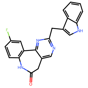 O=C1Cc2cnc(Cc3c[nH]c4ccccc34)nc2-c2cc(F)ccc2N1